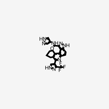 O=C(Nc1cn[nH]c1)c1n[nH]c2ccc3nc(-c4c[nH]nc4C(F)(F)F)c4c(c3c12)CCCC4